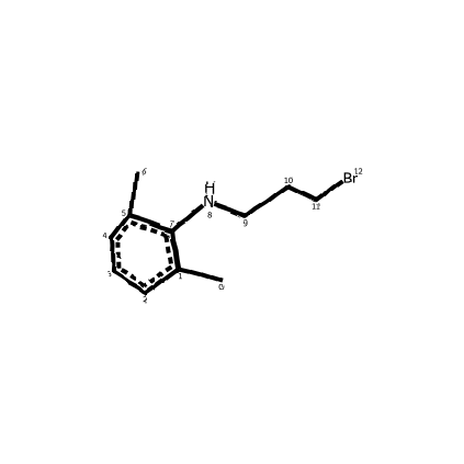 Cc1cccc(C)c1NCCCBr